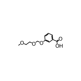 COCCOCOc1cccc(C(=O)O)c1